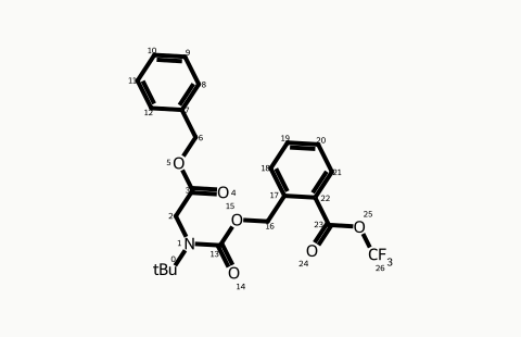 CC(C)(C)N(CC(=O)OCc1ccccc1)C(=O)OCc1ccccc1C(=O)OC(F)(F)F